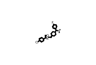 CN(C)C(c1ccc(F)cc1)C1CCC(=Cc2nc(-c3ccc(Cl)cc3)co2)CC1